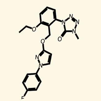 CCOc1cccc(-n2nnn(C)c2=O)c1COc1ccn(-c2ccc(F)cc2)n1